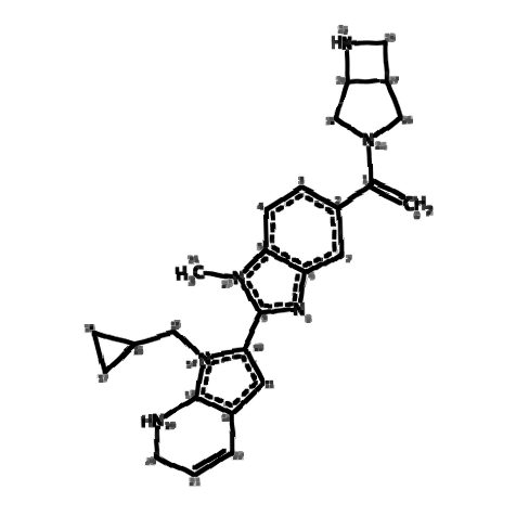 C=C(c1ccc2c(c1)nc(-c1cc3c(n1CC1CC1)NCC=C3)n2C)N1CC2CNC2C1